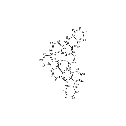 C1=Cc2sc3c(N(c4ccc(-c5cc6ccccc6cc5-c5ccccc5)cc4)c4cccc5c4sc4ccccc45)cccc3c2CC1